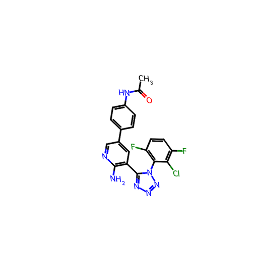 CC(=O)Nc1ccc(-c2cnc(N)c(-c3nnnn3-c3c(F)ccc(F)c3Cl)c2)cc1